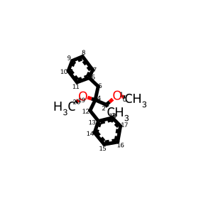 COC(C)C(Cc1ccccc1)(Cc1ccccc1)OC